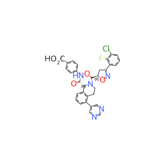 O=C(O)c1ccc(NC(=O)[C@H]2c3cccc(-c4cncnc4)c3CCN2C(=O)[C@H]2CC(c3cccc(Cl)c3F)=NO2)cc1